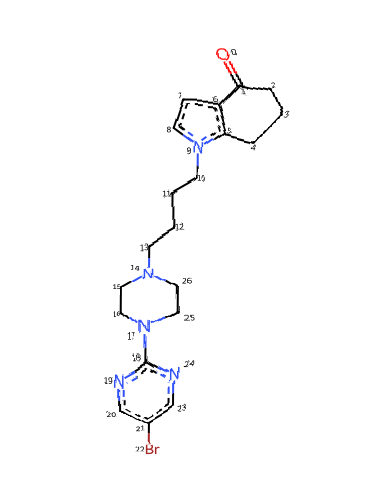 O=C1CCCc2c1ccn2CCCCN1CCN(c2ncc(Br)cn2)CC1